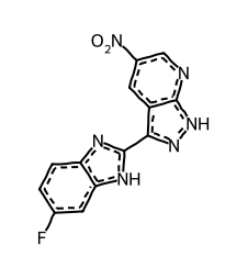 O=[N+]([O-])c1cnc2[nH]nc(-c3nc4ccc(F)cc4[nH]3)c2c1